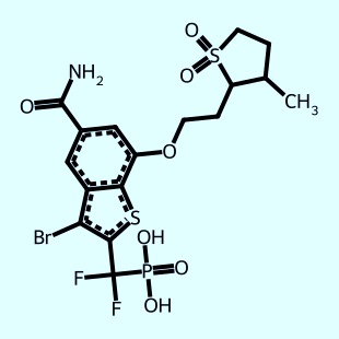 CC1CCS(=O)(=O)C1CCOc1cc(C(N)=O)cc2c(Br)c(C(F)(F)P(=O)(O)O)sc12